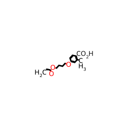 C=CC(=O)OCCCCOc1ccc(C(=O)O)c(C)c1